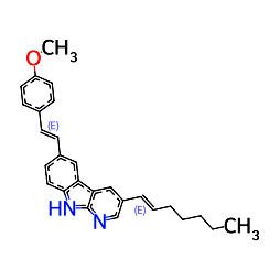 CCCCC/C=C/c1cnc2[nH]c3ccc(/C=C/c4ccc(OC)cc4)cc3c2c1